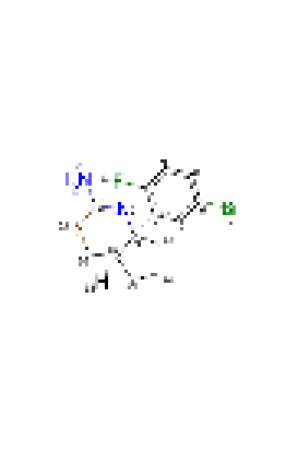 NC1=N[C@@]2(c3cc(Br)ccc3F)CCC[C@H]2CS1